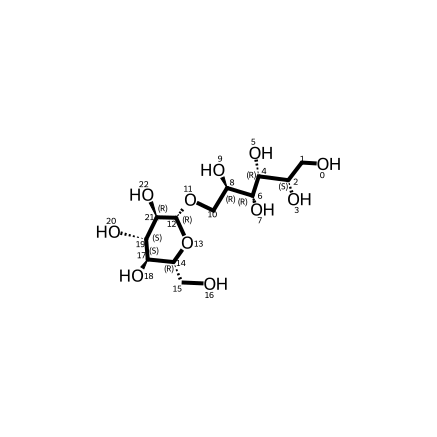 OC[C@H](O)[C@@H](O)[C@H](O)[C@H](O)CO[C@@H]1O[C@H](CO)[C@@H](O)[C@H](O)[C@H]1O